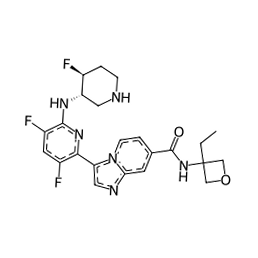 CCC1(NC(=O)c2ccn3c(-c4nc(N[C@H]5CNCC[C@@H]5F)c(F)cc4F)cnc3c2)COC1